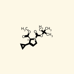 COC(=O)[C@@H]1C(C2CC2)=CCN1C(=O)OC(C)(C)C